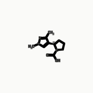 Cc1nn(C)cc1[C@H]1CCCN1C(=O)O